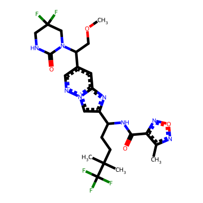 COCC(c1cnn2cc(C(CCC(C)(C)C(F)(F)F)NC(=O)c3nonc3C)nc2c1)N1CC(F)(F)CNC1=O